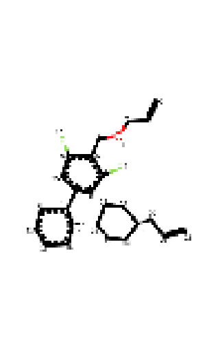 C=CCOCc1c(F)cc(-c2ccccc2[C@H]2CC[C@H](CC=C)CC2)cc1F